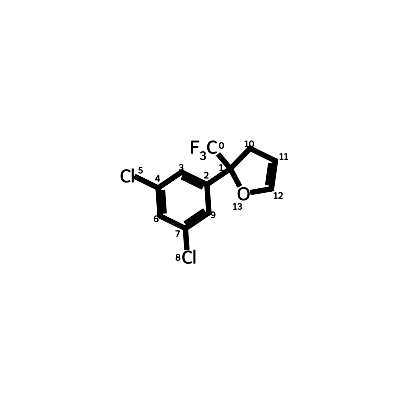 FC(F)(F)C1(c2cc(Cl)cc(Cl)c2)CC=CO1